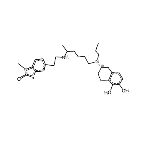 CCCN(CCCCC(C)NCCc1ccc2c(c1)sc(=O)n2C)[C@H]1CCc2c(ccc(O)c2O)C1